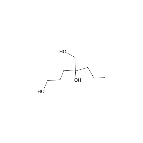 CCCC(O)(CO)CCCO